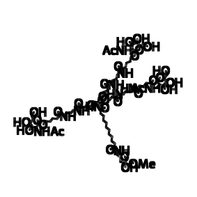 COC[C@H]1O[C@H](CNC(=O)CCCCCCCCCCC(=O)NC(COCCC(=O)NCCCNC(=O)CCCCOC2OC(CO)C(O)C(O)C2NC(C)=O)(COCCC(=O)NCCCNC(=O)CCCCOC2OC(CO)C(O)C(O)C2NC(C)=O)COCCC(=O)NCCCNC(=O)CCCCOC2O[C@H](CO)C(O)C(O)C2NC(C)=O)C[C@@H]1O